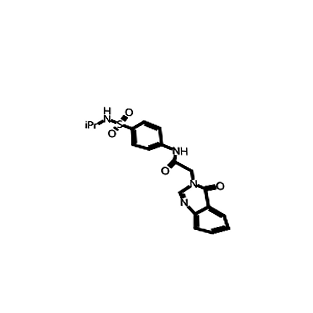 CC(C)NS(=O)(=O)c1ccc(NC(=O)Cn2cnc3ccccc3c2=O)cc1